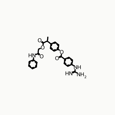 CC(C(=O)OCC(=O)Nc1ccccc1)c1ccc(OC(=O)c2ccc(NC(=N)N)cc2)cc1